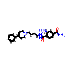 NC(=O)c1ccc(C(=O)NCCCCN2CC=C(c3ccccc3)CC2)c(N)c1